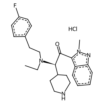 CCN(CCc1ccc(F)cc1)[C@@H](C(=O)c1c2ccccc2nn1C)C1CCNCC1.Cl